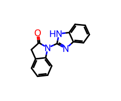 O=C1Cc2ccccc2N1c1nc2ccccc2[nH]1